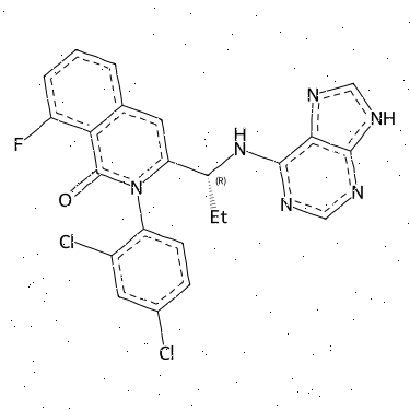 CC[C@@H](Nc1ncnc2[nH]cnc12)c1cc2cccc(F)c2c(=O)n1-c1ccc(Cl)cc1Cl